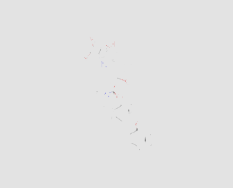 CCCN(Cc1ccc(Oc2ccccc2)cc1)C(=O)OC(=O)C1CCC1Nc1c(O)c(=O)c1=O